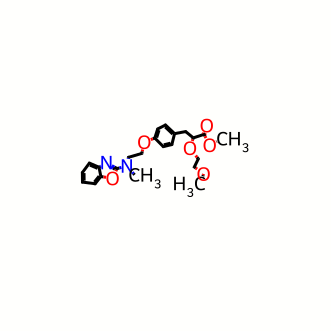 COCCOC(Cc1ccc(OCCN(C)c2nc3ccccc3o2)cc1)C(=O)OC